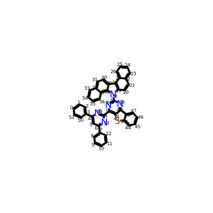 c1ccc(-c2cc(-c3ccccc3)nc(-c3nc(-n4c5ccc6ccccc6c5c5ccc6ccccc6c54)nc4c3sc3ccccc34)n2)cc1